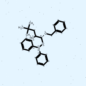 CC(C)(C)CC(O)[C@H](OCc1ccccc1)O[SiH](c1ccccc1)c1ccccc1